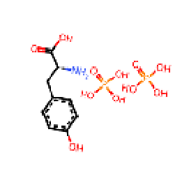 N[C@@H](Cc1ccc(O)cc1)C(=O)O.O=P(O)(O)O.O=P(O)(O)O